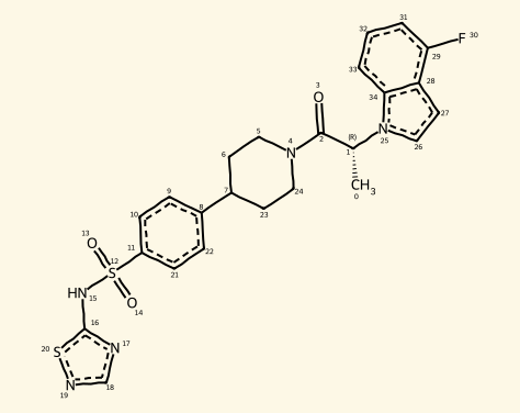 C[C@H](C(=O)N1CCC(c2ccc(S(=O)(=O)Nc3ncns3)cc2)CC1)n1ccc2c(F)cccc21